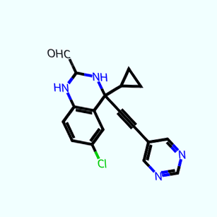 O=CC1Nc2ccc(Cl)cc2C(C#Cc2cncnc2)(C2CC2)N1